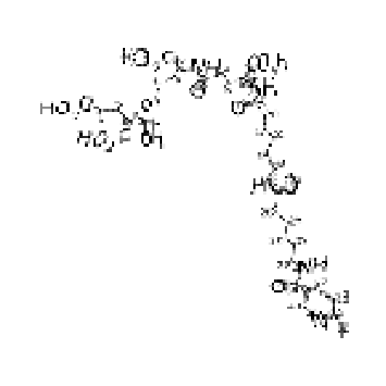 O=C(O)CC[C@@H](C(=O)O)N(OCCC[C@H](NC(=O)CC[C@H](NC(=O)CCCCCNC(=O)CCCCCNC(=O)c1ccc(F)nc1)C(=O)O)C(=O)O)PO